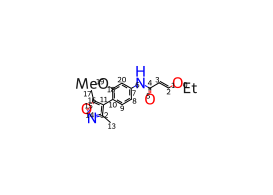 CCOC=CC(=O)Nc1ccc(-c2c(C)noc2C)c(OC)c1